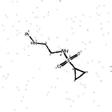 CC(C)NCCNS(=O)(=O)C1CC1